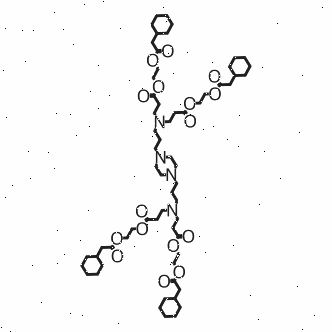 O=C(CCN(CCCN1CCN(CCCN(CCC(=O)OCCOC(=O)CC2CCCCC2)CCC(=O)OCCOC(=O)CC2CCCCC2)CC1)CCC(=O)OCCOC(=O)CC1CCCCC1)OCCOC(=O)CC1CCCCC1